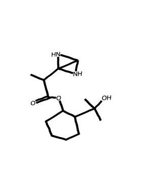 CC(C(=O)OC1CCCCC1C(C)(C)O)C12NC1N2